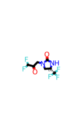 O=C(CN1C[C@@H](C(F)(F)F)NC1=O)C(F)F